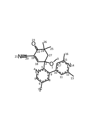 COC1(c2ncc(F)cc2-c2cc(C)nc(C)c2)C=C(C#N)C(=O)C(C)(C)C1